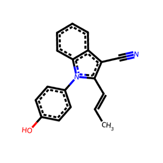 C/C=C/c1c(C#N)c2ccccc2n1-c1ccc(O)cc1